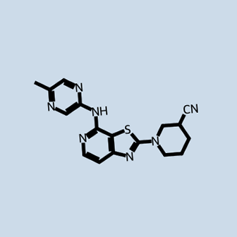 Cc1cnc(Nc2nccc3nc(N4CCCC(C#N)C4)sc23)cn1